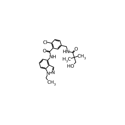 CCn1ncc2c(NC(=O)c3cc(CNC(=O)C(C)(C)CO)ccc3Cl)cccc21